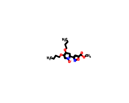 CCCCOc1cc(-c2cc(C(=O)OC)on2)[n+]([O-])cc1OCCCC